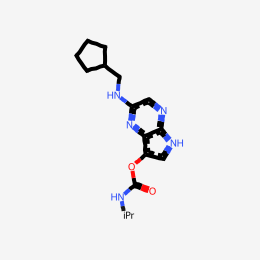 CC(C)NC(=O)Oc1c[nH]c2ncc(NCC3CCCC3)nc12